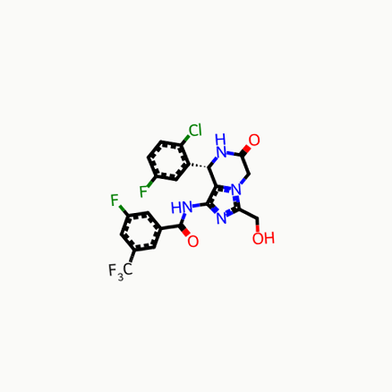 O=C1Cn2c(CO)nc(NC(=O)c3cc(F)cc(C(F)(F)F)c3)c2[C@H](c2cc(F)ccc2Cl)N1